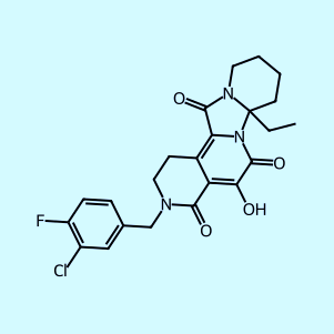 CCC12CCCCN1C(=O)c1c3c(c(O)c(=O)n12)C(=O)N(Cc1ccc(F)c(Cl)c1)CC3